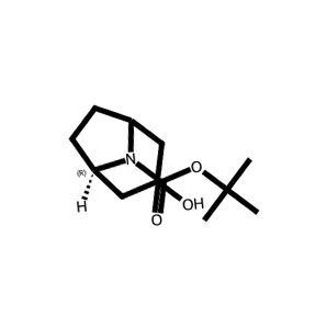 CC(C)(C)OC(=O)N1C2CC[C@@H]1CC(O)C2